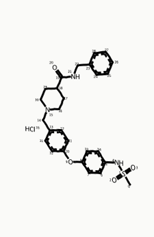 CS(=O)(=O)Nc1ccc(Oc2ccc(CN3CCC(C(=O)NCc4ccccc4)CC3)cc2)cc1.Cl